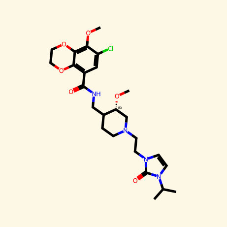 COc1c(Cl)cc(C(=O)NCC2CCN(CCn3ccn(C(C)C)c3=O)C[C@H]2OC)c2c1OCCO2